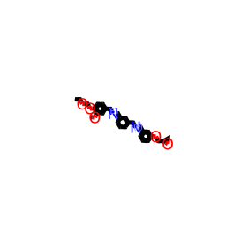 CCOCOc1ccc(/C=N/CC2CCCC(C/N=C/c3cccc(OCC4CO4)c3)C2)cc1OC